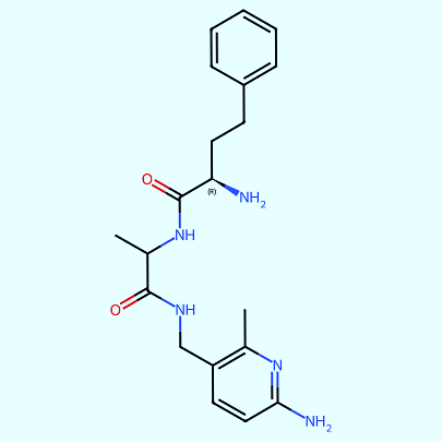 Cc1nc(N)ccc1CNC(=O)C(C)NC(=O)[C@H](N)CCc1ccccc1